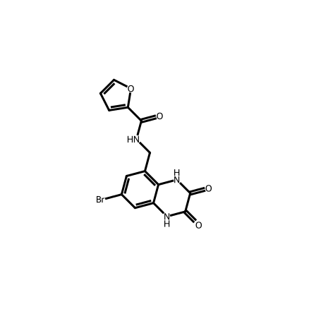 O=C(NCc1cc(Br)cc2[nH]c(=O)c(=O)[nH]c12)c1ccco1